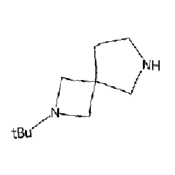 CC(C)(C)N1CC2(CCNC2)C1